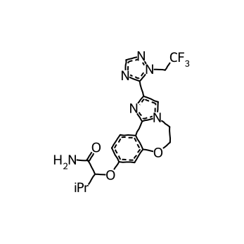 CC(C)C(Oc1ccc2c(c1)OCCn1cc(-c3ncnn3CC(F)(F)F)nc1-2)C(N)=O